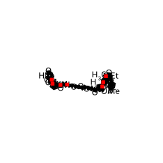 CC[C@@H]1C(=O)N(C)c2cnc(Nc3ccc(C(=O)NCCOCCOCCOCCNCCC(=O)Nc4cccc5c4CN(C4CCC(=O)NC4=O)C5=O)cc3OC)nc2N1Cc1ccc(Br)cc1